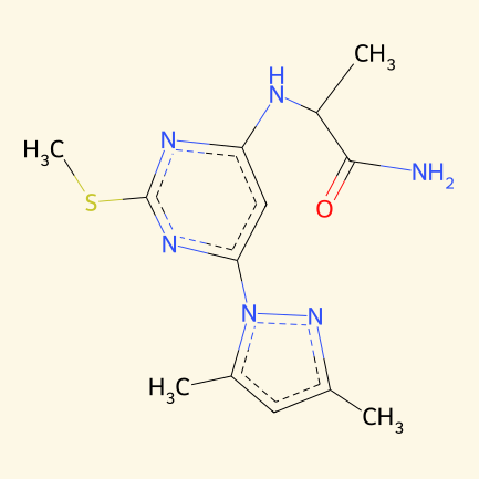 CSc1nc(NC(C)C(N)=O)cc(-n2nc(C)cc2C)n1